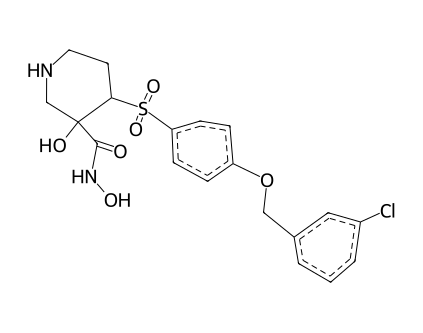 O=C(NO)C1(O)CNCCC1S(=O)(=O)c1ccc(OCc2cccc(Cl)c2)cc1